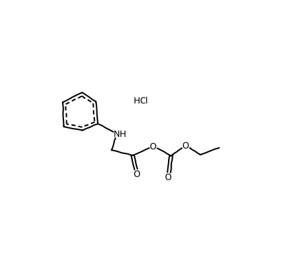 CCOC(=O)OC(=O)CNc1ccccc1.Cl